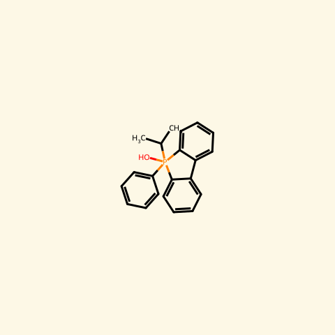 CC(C)P1(O)(c2ccccc2)c2ccccc2-c2ccccc21